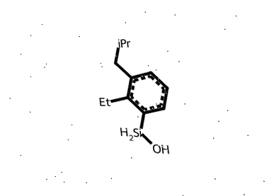 CCc1c(CC(C)C)cccc1[SiH2]O